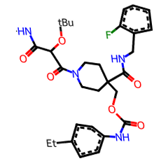 CCc1ccc(NC(=O)OCC2(C(=O)NCc3ccccc3F)CCN(C(=O)C(OC(C)(C)C)C([NH])=O)CC2)cc1